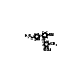 Cc1nc(OCC(C)C)cc(Oc2cc(C#N)ccc2-c2ncc(CN)cn2)n1